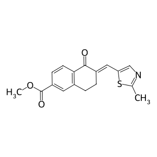 COC(=O)c1ccc2c(c1)CC/C(=C\c1cnc(C)s1)C2=O